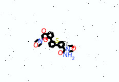 CC[C@@H]1COCCN1C(C(N)=O)c1ccc2sc3c(-c4cccc5c(=O)cc(N6CCOCC6)oc45)cccc3c2c1